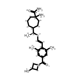 Cc1cc(C(=O)N2CC(O)C2)cc(C)c1/C=C/S[C@@H](C)C1CCCC(N)(C(N)=O)CC1